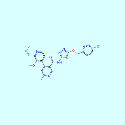 C/N=C\c1nccc(-c2cc(C)ncc2C(=O)Nc2nnc(OCc3ccc(Cl)cn3)s2)c1OC